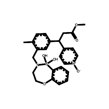 COC(=O)CC(c1cc[n+]([O-])cc1)c1ccc(C)c(CN2CCOc3ccccc3S2(O)O)c1